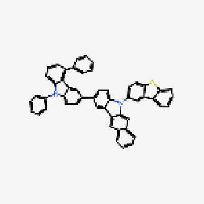 c1ccc(-c2cccc3c2c2cc(-c4ccc5c(c4)c4cc6ccccc6cc4n5-c4ccc5sc6ccccc6c5c4)ccc2n3-c2ccccc2)cc1